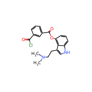 CN(C)CCc1c[nH]c2cccc(OC(=O)c3cccc(C(=O)Cl)c3)c12